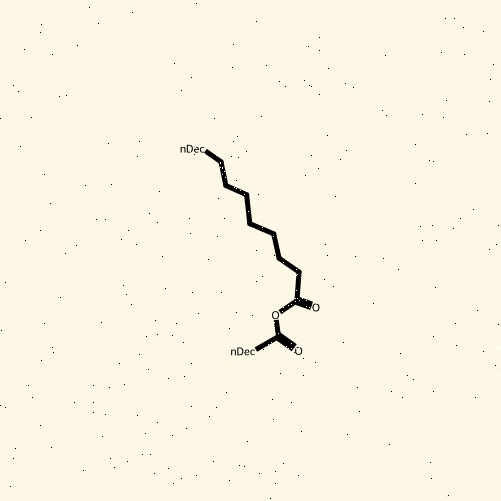 CCCCCCCCCCCCCCCCCC(=O)OC(=O)CCCCCCCCCC